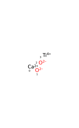 [Ca+2].[O-2].[O-2].[Ti+4]